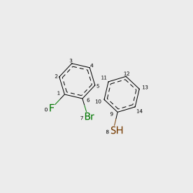 Fc1ccccc1Br.Sc1ccccc1